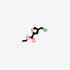 CCOC(=O)c1cc(CBr)cs1